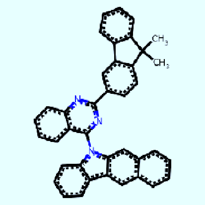 CC1(C)c2ccccc2-c2cc(-c3nc(-n4c5ccccc5c5cc6ccccc6cc54)c4ccccc4n3)ccc21